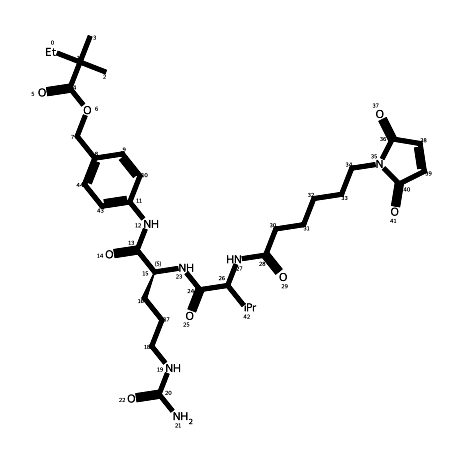 CCC(C)(C)C(=O)OCc1ccc(NC(=O)[C@H](CCCNC(N)=O)NC(=O)C(NC(=O)CCCCCN2C(=O)C=CC2=O)C(C)C)cc1